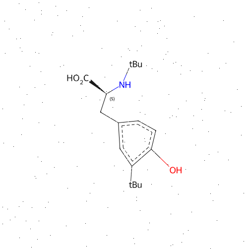 CC(C)(C)N[C@@H](Cc1ccc(O)c(C(C)(C)C)c1)C(=O)O